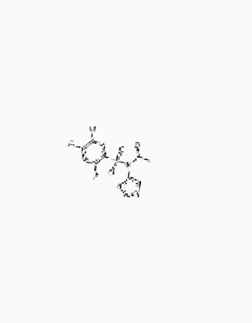 CC(=O)N(c1cscn1)S(=O)(=O)c1cc(Cl)c(F)cc1F